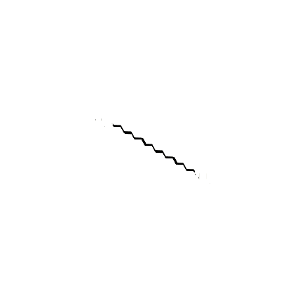 NCCC/C=C/C/C=C/C/C=C/C/C=C/CCC(=O)O